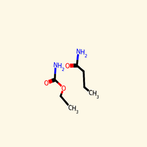 CCCC(N)=O.CCOC(N)=O